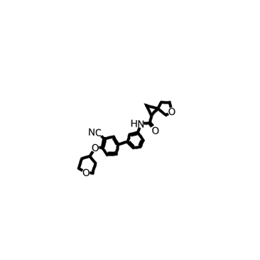 N#Cc1cc(-c2cccc(NC(=O)C3CC34CCOC4)c2)ccc1OC1CCOCC1